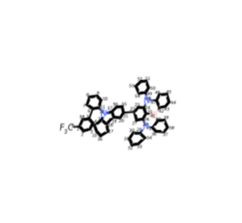 FC(F)(F)c1cccc(-c2ccccc2-n2c3ccccc3c3cc(-c4cc5c6c(c4)N(c4ccccc4)c4ccccc4B6c4ccccc4N5c4ccccc4)ccc32)c1